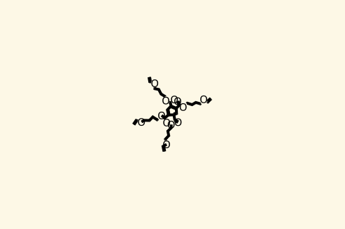 C=COCCCCOC(=O)c1cc(C(=O)OCCCCOC=C)c(C(=O)OCCCCOC=C)cc1C(=O)OCCCCOC=C